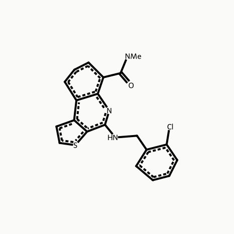 CNC(=O)c1cccc2c1nc(NCc1ccccc1Cl)c1sccc12